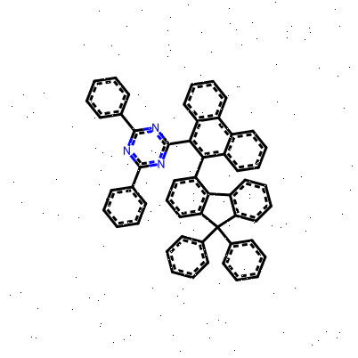 c1ccc(-c2nc(-c3ccccc3)nc(-c3c(-c4cccc5c4-c4ccccc4C5(c4ccccc4)c4ccccc4)c4ccccc4c4ccccc34)n2)cc1